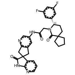 O=C(CN1C(=O)C2(CCCC2)CC[C@H]1c1cc(F)cc(F)c1)Nc1cnc2c(c1)CC1(C2)C(=O)Nc2ncccc21